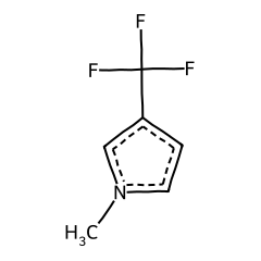 Cn1ccc(C(F)(F)F)c1